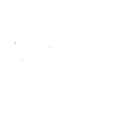 C[C@H](O)CC(Cl)C[C@H](Cc1ccc2ccccc2c1)NC(=O)O